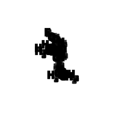 C=C(c1cccc(OCCF)c1)c1ncccc1[C@H](CC(=O)OC(C)(C)C)NC(=O)[C@@H]1CCCN(C(=O)CCC2CCN(C(=O)OC(C)(C)C)CC2)C1